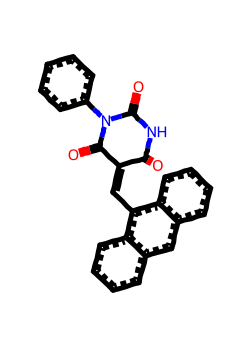 O=C1NC(=O)N(c2ccccc2)C(=O)/C1=C/c1c2ccccc2cc2ccccc12